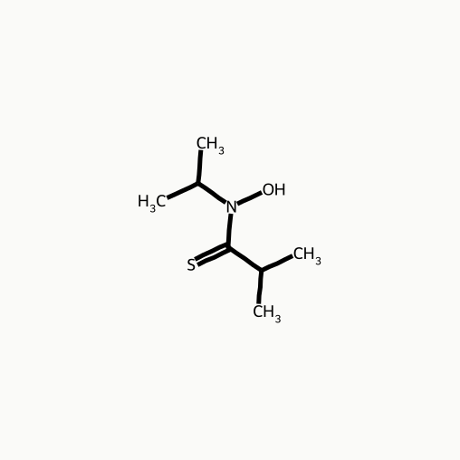 CC(C)C(=S)N(O)C(C)C